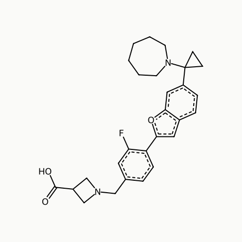 O=C(O)C1CN(Cc2ccc(-c3cc4ccc(C5(N6CCCCCC6)CC5)cc4o3)c(F)c2)C1